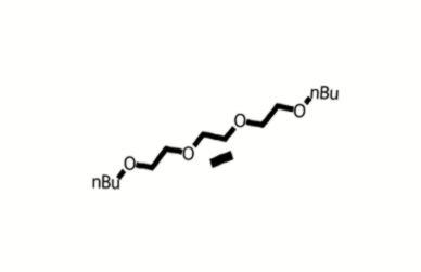 C=C.CCCCOCCOCCOCCOCCCC